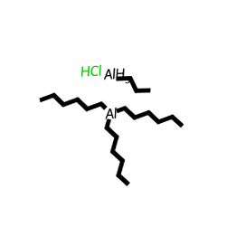 CCCC.CCCCC[CH2][Al]([CH2]CCCCC)[CH2]CCCCC.Cl.[AlH3]